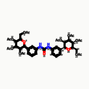 CC(=O)OCC1OC(c2cccc(NC(=O)Nc3cccc([C@H]4O[C@H](COC(C)=O)[C@@H](OC(C)=O)[C@H](OC(C)=O)[C@@H]4OC(C)=O)c3)c2)C(OC(C)=O)C(OC(C)=O)C1OC(C)=O